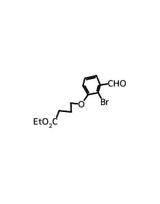 CCOC(=O)CCCOc1cccc(C=O)c1Br